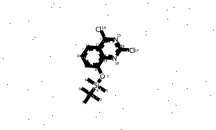 CC(C)(C)[Si](C)(C)Oc1cccc2c(Cl)nc(Cl)nc12